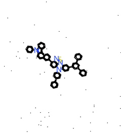 c1ccc(-c2ccc(N(c3ccc(-c4cc(-c5ccccc5)cc(-c5ccccc5)c4)cc3)c3ccc(-c4ccc5c(ccc6c5c5ccccc5n6-c5ccccc5)c4)c4nsnc34)cc2)cc1